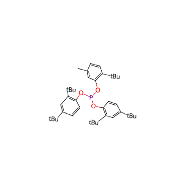 Cc1ccc(C(C)(C)C)c(OP(Oc2ccc(C(C)(C)C)cc2C(C)(C)C)Oc2ccc(C(C)(C)C)cc2C(C)(C)C)c1